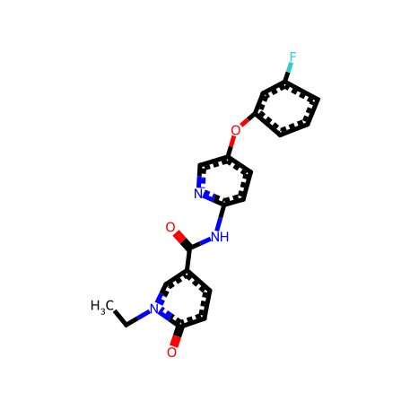 CCn1cc(C(=O)Nc2ccc(Oc3cccc(F)c3)cn2)ccc1=O